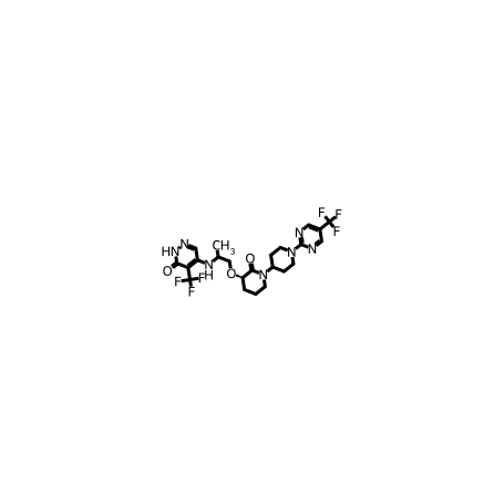 CC(CO[C@@H]1CCCN(C2CCN(c3ncc(C(F)(F)F)cn3)CC2)C1=O)Nc1cn[nH]c(=O)c1C(F)(F)F